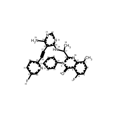 Cc1ccc(F)c2c(=O)n(-c3ccccc3)c(C(C)Nc3ncnc(N)c3C#Cc3ccc(F)cn3)nc12